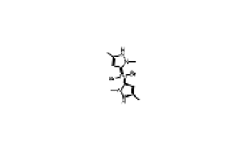 Cc1c[c](=[Pd]([Br])([Br])=[c]2cc(C)[nH]n2C)n(C)[nH]1